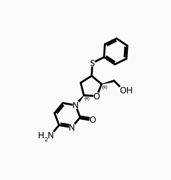 Nc1ccn([C@H]2CC(Sc3ccccc3)[C@@H](CO)O2)c(=O)n1